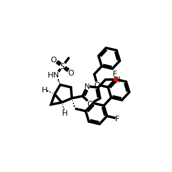 CS(=O)(=O)N[C@@H]1C[C@@](Cc2ccc(F)c(-c3cccc(F)c3OCc3ccccc3)c2)(c2nc(CCl)co2)[C@H]2C[C@@H]12